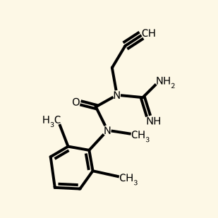 C#CCN(C(=N)N)C(=O)N(C)c1c(C)cccc1C